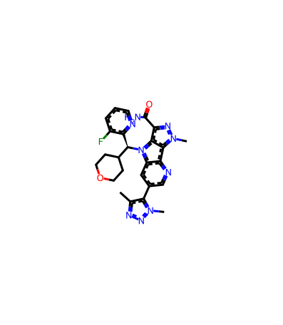 Cc1nnn(C)c1-c1cnc2c3c(c(C(N)=O)nn3C)n([C@H](c3ncccc3F)C3CCOCC3)c2c1